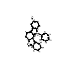 Brc1ccc2c(c1)c1ccc3oc4ccccc4c3c1n2-c1ccccc1